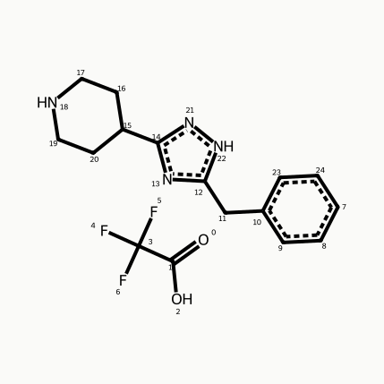 O=C(O)C(F)(F)F.c1ccc(Cc2nc(C3CCNCC3)n[nH]2)cc1